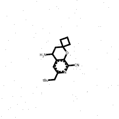 CC(C)(C)Cc1cc2c(c(C#N)n1)OC1(CCC1)CC2N